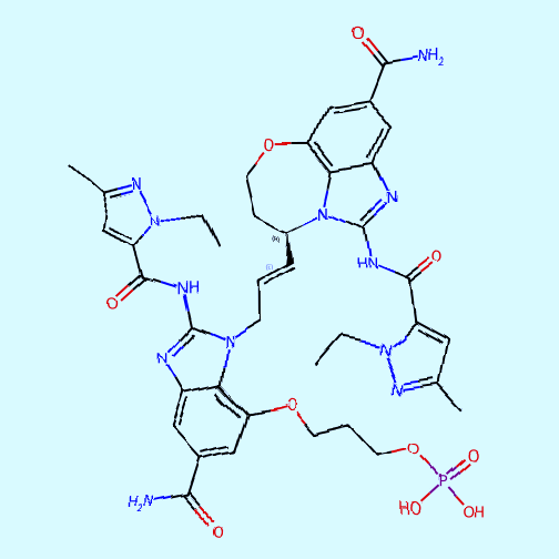 CCn1nc(C)cc1C(=O)Nc1nc2cc(C(N)=O)cc(OCCCOP(=O)(O)O)c2n1C/C=C/[C@H]1CCOc2cc(C(N)=O)cc3nc(NC(=O)c4cc(C)nn4CC)n1c23